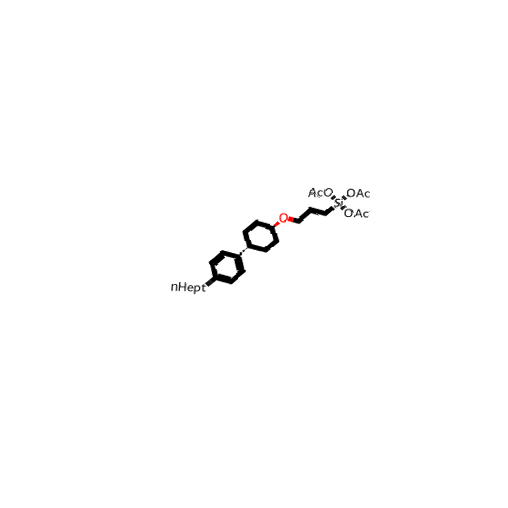 CCCCCCCc1ccc([C@H]2CC[C@H](OCCC[Si](OC(C)=O)(OC(C)=O)OC(C)=O)CC2)cc1